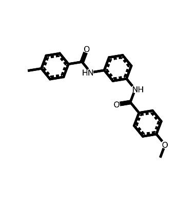 COc1ccc(C(=O)Nc2cccc(NC(=O)c3ccc(C)cc3)c2)cc1